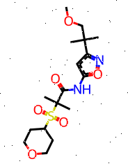 COCC(C)(C)c1cc(NC(=O)C(C)(C)S(=O)(=O)C2CCOCC2)on1